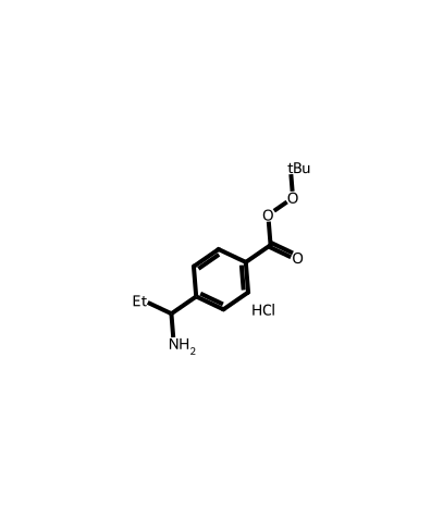 CCC(N)c1ccc(C(=O)OOC(C)(C)C)cc1.Cl